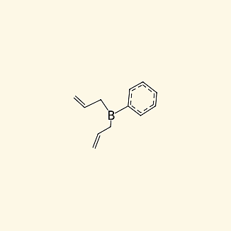 C=CCB(CC=C)c1ccccc1